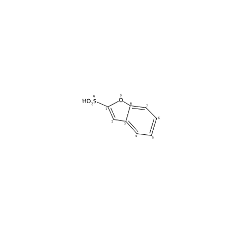 O=S(=O)(O)c1cc2ccccc2o1